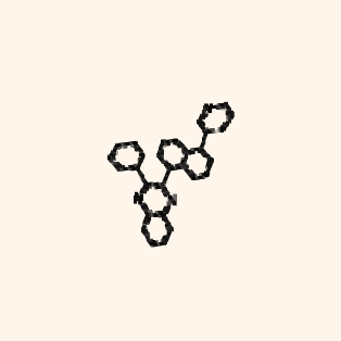 c1ccc(-c2nc3ccccc3nc2-c2cccc3c(-c4cccnc4)cccc23)cc1